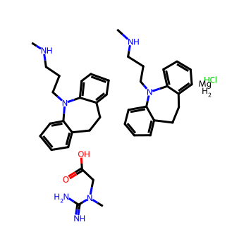 CN(CC(=O)O)C(=N)N.CNCCCN1c2ccccc2CCc2ccccc21.CNCCCN1c2ccccc2CCc2ccccc21.Cl.[MgH2]